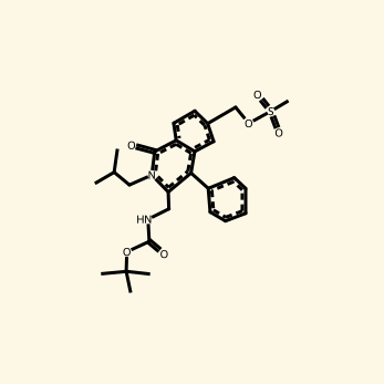 CC(C)Cn1c(CNC(=O)OC(C)(C)C)c(-c2ccccc2)c2cc(COS(C)(=O)=O)ccc2c1=O